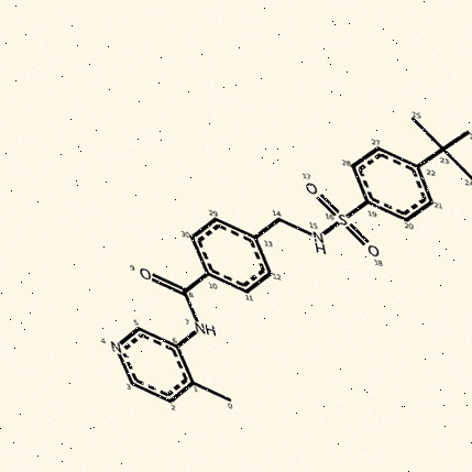 Cc1ccncc1NC(=O)c1ccc(CNS(=O)(=O)c2ccc(C(C)(C)C)cc2)cc1